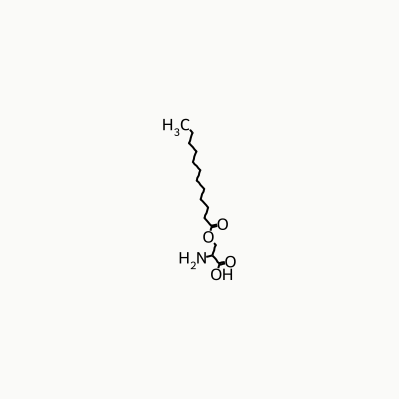 CCCCCCCCCCCC(=O)OCC(N)C(=O)O